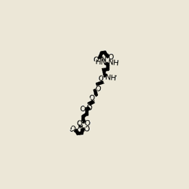 N=C(CCC(=N)OCCOCCOCCOC(=O)CCC(=O)ON1C(=O)CCC1=O)NN1C(=O)CCC1=O